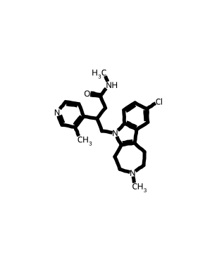 CNC(=O)CC(Cn1c2c(c3cc(Cl)ccc31)CCN(C)CC2)c1ccncc1C